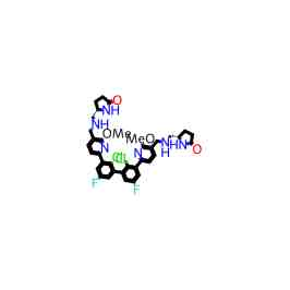 COc1nc(-c2cc(F)cc(-c3cc(F)cc(-c4ccc(CNC[C@@H]5CCC(=O)N5)c(OC)n4)c3Cl)c2Cl)ccc1CNC[C@@H]1CCC(=O)N1